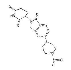 CC(=O)N1CCC(c2ccc3c(c2)CN(C2CCC(=O)NC2=O)C3=O)CC1